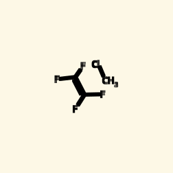 CCl.FC(F)=C(F)F